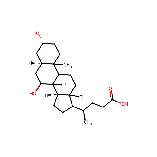 C[C@H](CCC(=O)O)C1CC[C@H]2[C@H]3C(CCC12C)C1(C)CC[C@@H](O)C[C@@H]1C[C@@H]3O